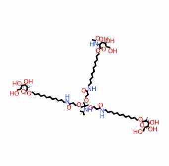 CC(=O)N[C@H]1C(O)[C@@H](O)C(CO)O[C@H]1OCCCCCCCCCCCCNC(=O)CCOCC(COCCC(=O)NCCCCCCCCCCCCO[C@@H]1OC(CO)[C@H](O)C(O)[C@@H]1C)(COCCC(=O)NCCCCCCCCCCCCO[C@@H]1OC(CO)[C@H](O)C(O)[C@@H]1C)NC(C)C